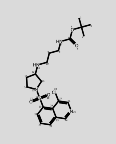 CC(C)(C)OC(=O)NCCCNC1CCN(S(=O)(=O)c2cccc3cncc(Cl)c23)C1